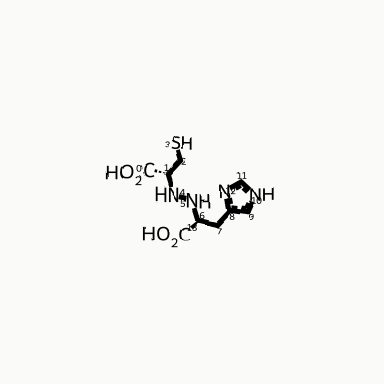 O=C(O)[C@H](CS)NN[C@@H](Cc1c[nH]cn1)C(=O)O